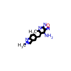 Cc1nc2nonc2c(N)c1Cc1ccc2nn(C)cc2c1